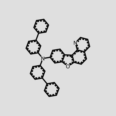 c1ccc(-c2cccc(N(c3cccc(-c4ccccc4)c3)c3ccc4c(c3)oc3ccc5cccnc5c34)c2)cc1